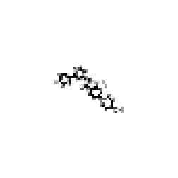 Cc1nc(N2CCC(O)CC2)ccc1C(=O)Nc1ncnc(-c2ccccn2)n1